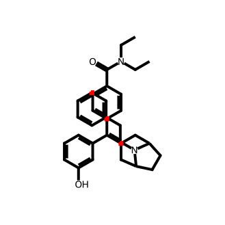 CCN(CC)C(=O)c1ccc(C(=C2CC3CCC(C2)N3CCc2ccccc2)c2cccc(O)c2)cc1